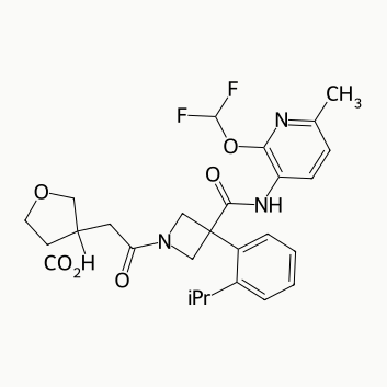 Cc1ccc(NC(=O)C2(c3ccccc3C(C)C)CN(C(=O)CC3(C(=O)O)CCOC3)C2)c(OC(F)F)n1